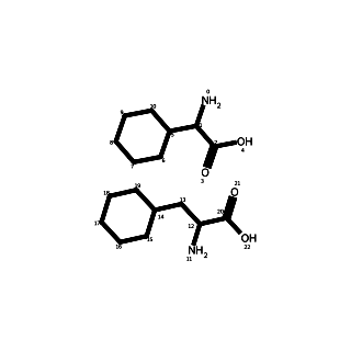 NC(C(=O)O)C1CCCCC1.NC(CC1CCCCC1)C(=O)O